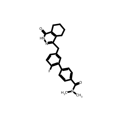 CN(C)C(=O)c1ccc(-c2cc(Cc3n[nH]c(=O)c4c3CCCC4)ccc2F)cc1